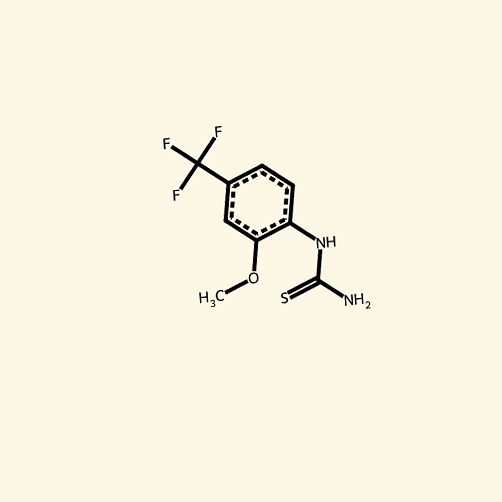 COc1cc(C(F)(F)F)ccc1NC(N)=S